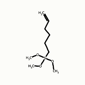 C=CCCCC[Si](OC)(OC)OC